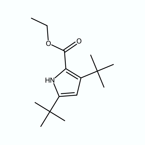 CCOC(=O)c1[nH]c(C(C)(C)C)cc1C(C)(C)C